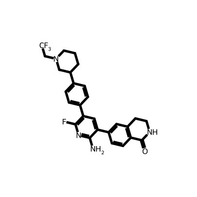 Nc1nc(F)c(-c2ccc(C3CCCN(CC(F)(F)F)C3)cc2)cc1-c1ccc2c(c1)CCNC2=O